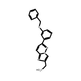 O=C(O)Cc1cn2nc(-c3cccc(OCc4ccccc4)c3)ccc2n1